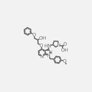 COc1ccc(Cn2nc(NC3CCN(C(=O)O)C3)c3c(OCC(O)COc4ccccc4)ccnc32)cc1